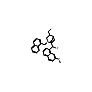 CCC1C[N+]2(Cc3cccc4ccccc34)CCC1CC2C(O)c1ccnc2ccc(OC)cc12